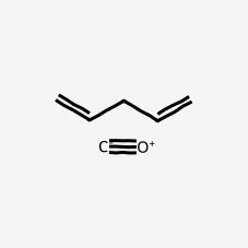 C=CCC=C.[C-]#[O+]